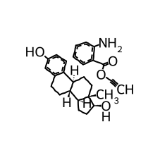 C#COC(=O)c1ccccc1N.C[C@]12CC[C@@H]3c4ccc(O)cc4CC[C@H]3[C@@H]1CC[C@@H]2O